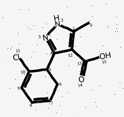 Cc1[nH]nc(C2CC=CC=C2Cl)c1C(=O)O